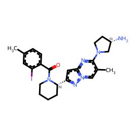 Cc1ccc(C(=O)N2CCCC[C@H]2c2cc3nc(N4CC[C@H](N)C4)c(C)cn3n2)c(I)c1